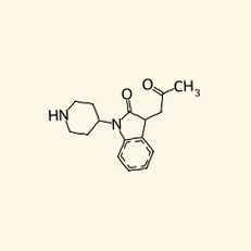 CC(=O)CC1C(=O)N(C2CCNCC2)c2ccccc21